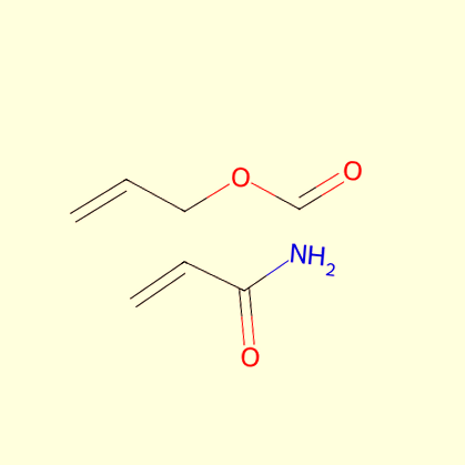 C=CC(N)=O.C=CCOC=O